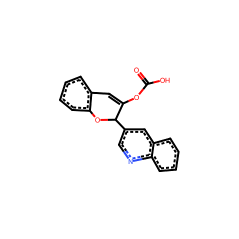 O=C(O)OC1=Cc2ccccc2OC1c1cnc2ccccc2c1